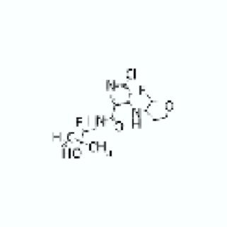 CC(C)(O)C(F)CNC(=O)c1cnc(Cl)cc1NC1CCOCC1F